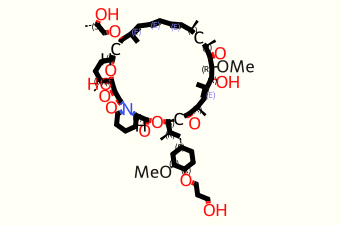 CO[C@@H]1C[C@H](C[C@@H](C)[C@@H]2CC(=O)[C@H](C)/C=C(\C)[C@@H](O)[C@@H](OC)C(=O)[C@H](C)C[C@H](C)/C=C/C=C/C=C(\C)C(OC[C@H](C)O)C[C@@H]3CC[C@@H](C)[C@@](O)(O3)C(=O)C(=O)N3CCCC[C@H]3C(=O)O2)CC[C@H]1OCCCO